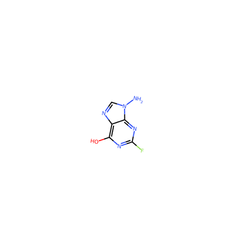 Nn1cnc2c(O)nc(F)nc21